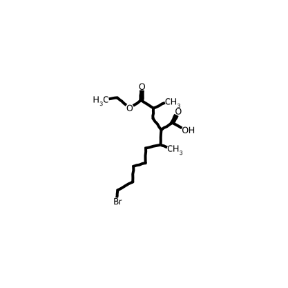 CCOC(=O)C(C)CC(C(=O)O)C(C)CCCCCBr